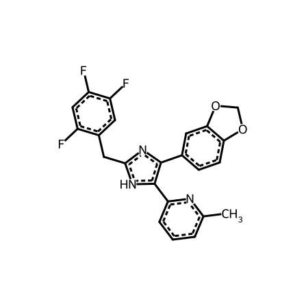 Cc1cccc(-c2[nH]c(Cc3cc(F)c(F)cc3F)nc2-c2ccc3c(c2)OCO3)n1